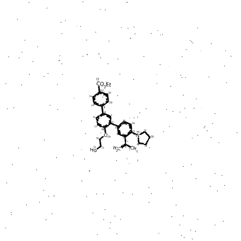 C=C(C)c1cc(-c2cc(-c3ccc(C(=O)OCC)cc3)ccc2OCCO)ccc1N1CCCC1